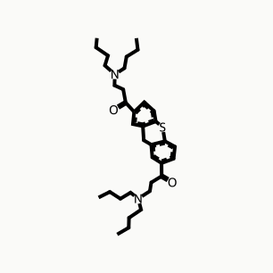 CCCCN(CCCC)CCC(=O)c1ccc2c(c1)Cc1cc(C(=O)CCN(CCCC)CCCC)ccc1S2